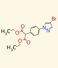 CCOC(=O)C(C(=O)OCC)c1ccc(-n2cc(Br)cn2)cc1